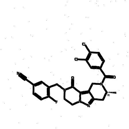 C[C@@H]1Cc2nn3c(c2CN1C(=O)c1ccc(Cl)c(Cl)c1)C(=O)N(Cc1cc(C#N)ccc1F)CC3